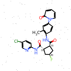 Cc1cc(-n2ccccc2=O)ccc1NC(=O)[C@H]1C[C@@H](F)C[C@@H]1C(=O)Nc1ccc(Cl)cn1